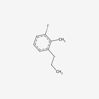 CC[CH]c1cccc(F)c1C